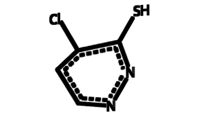 Sc1nnccc1Cl